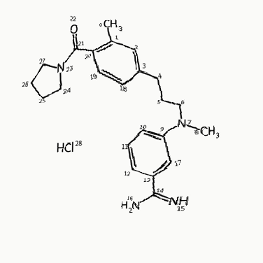 Cc1cc(CCCN(C)c2cccc(C(=N)N)c2)ccc1C(=O)N1CCCC1.Cl